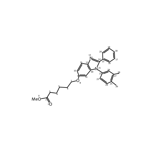 COC(=O)CCCCCOc1ccc2nc(-c3ccccc3)n(-c3ccc(C)c(C)c3)c2c1